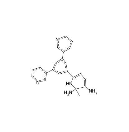 CC1(N)NC(c2cc(-c3cccnc3)cc(-c3cccnc3)c2)=CC=C1N